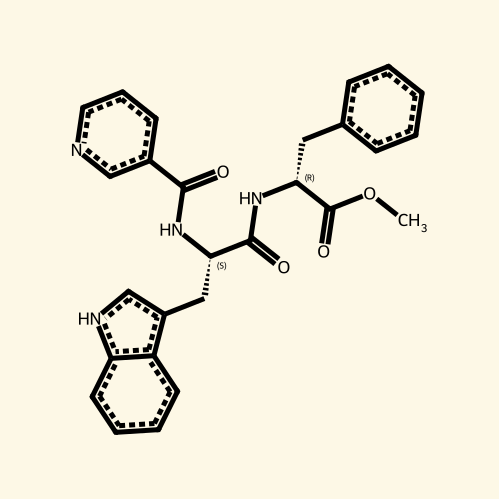 COC(=O)[C@@H](Cc1ccccc1)NC(=O)[C@H](Cc1c[nH]c2ccccc12)NC(=O)c1cccnc1